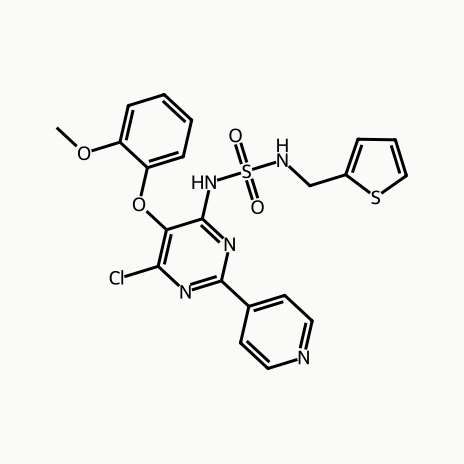 COc1ccccc1Oc1c(Cl)nc(-c2ccncc2)nc1NS(=O)(=O)NCc1cccs1